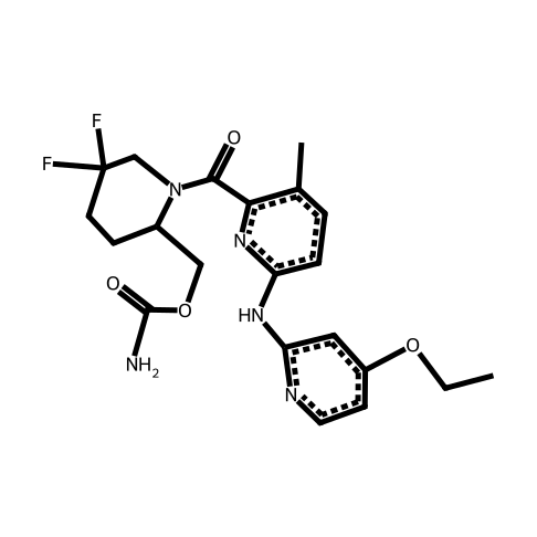 CCOc1ccnc(Nc2ccc(C)c(C(=O)N3CC(F)(F)CCC3COC(N)=O)n2)c1